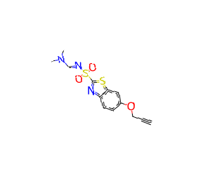 C#CCOc1ccc2nc(S(=O)(=O)N=CN(C)C)sc2c1